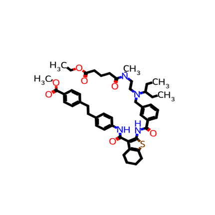 CCOC(=O)CCCC(=O)N(C)CCN(Cc1cccc(C(=O)Nc2sc3c(c2C(=O)Nc2ccc(CCc4ccc(C(=O)OC)cc4)cc2)CCCC3)c1)C(CC)CC